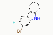 Fc1cc2c3c([nH]c2cc1Br)CCCC3